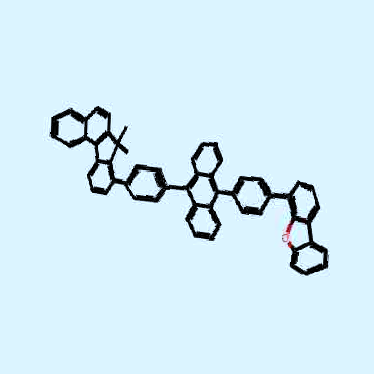 CC1(C)c2ccc3ccccc3c2-c2cccc(-c3ccc(-c4c5ccccc5c(-c5ccc(-c6cccc7c6oc6ccccc67)cc5)c5ccccc45)cc3)c21